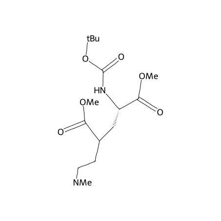 CNCCC(C[C@H](NC(=O)OC(C)(C)C)C(=O)OC)C(=O)OC